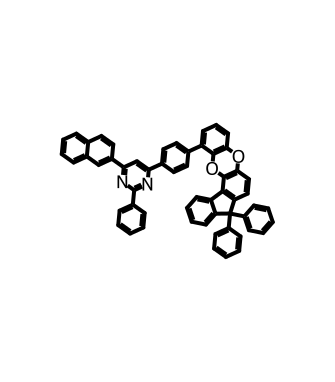 c1ccc(-c2nc(-c3ccc(-c4cccc5c4Oc4c(ccc6c4-c4ccccc4C6(c4ccccc4)c4ccccc4)O5)cc3)cc(-c3ccc4ccccc4c3)n2)cc1